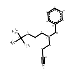 CC(C)(C)OCCN(CCC#N)Cc1cccnc1